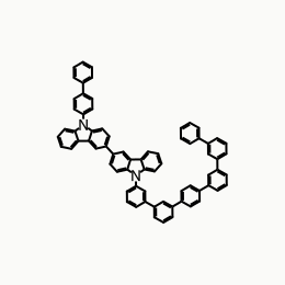 c1ccc(-c2ccc(-n3c4ccccc4c4cc(-c5ccc6c(c5)c5ccccc5n6-c5cccc(-c6cccc(-c7ccc(-c8cccc(-c9cccc(-c%10ccccc%10)c9)c8)cc7)c6)c5)ccc43)cc2)cc1